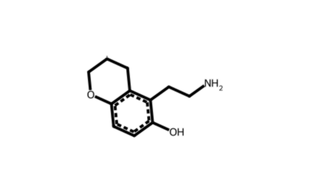 NCCc1c(O)ccc2c1C[CH]CO2